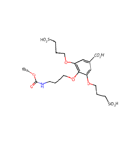 CC(C)(C)OC(=O)NCCCOc1c(OCCCS(=O)(=O)O)cc(C(=O)O)cc1OCCCS(=O)(=O)O